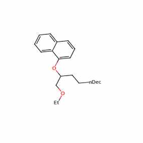 [CH2]COCC(CCCCCCCCCCCC)Oc1cccc2ccccc12